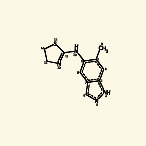 Cc1cc2[nH]ncc2cc1NC1=NCCS1